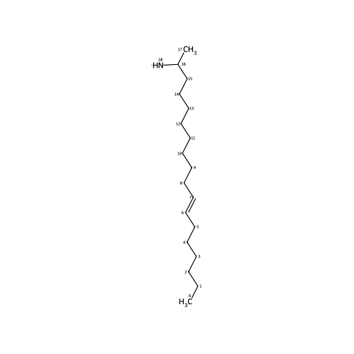 CCCCCC/C=C/CCCCCCCCC(C)[NH]